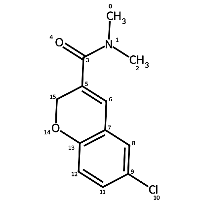 CN(C)C(=O)C1=Cc2cc(Cl)ccc2OC1